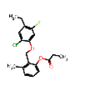 CCC(=O)Oc1cccc(C)c1COc1cc(F)c(CC)cc1Cl